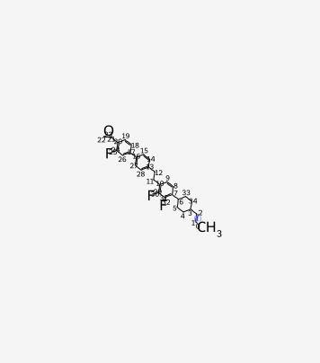 C/C=C/C1CCC(c2ccc(CCc3ccc(-c4ccc(C5CO5)c(F)c4)cc3)c(F)c2F)CC1